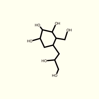 OCC(O)CC1CC(O)C(O)C(O)C1CO